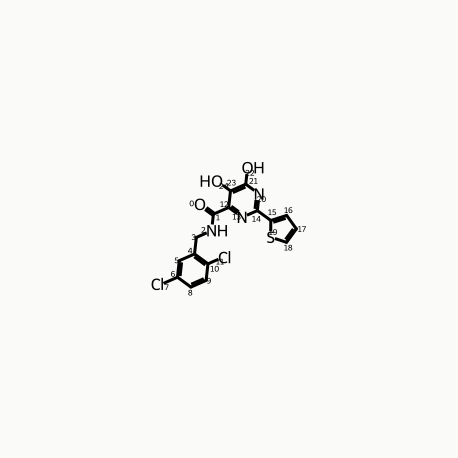 O=C(NCc1cc(Cl)ccc1Cl)c1nc(-c2cccs2)nc(O)c1O